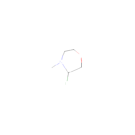 CN1CCOCC1F